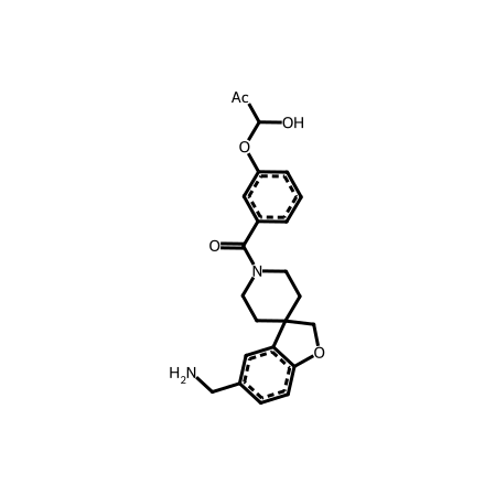 CC(=O)C(O)Oc1cccc(C(=O)N2CCC3(CC2)COc2ccc(CN)cc23)c1